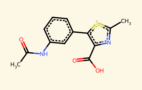 CC(=O)Nc1cccc(-c2sc(C)nc2C(=O)O)c1